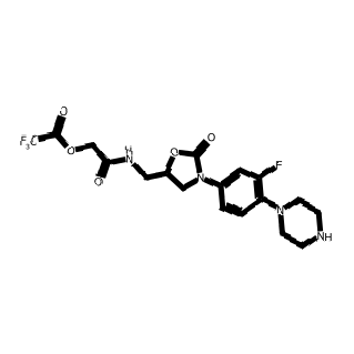 O=C(COC(=O)C(F)(F)F)NCC1CN(c2ccc(N3CCNCC3)c(F)c2)C(=O)O1